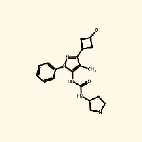 Cc1c(C2CC(O)C2)nn(-c2ccccc2)c1NC(=O)NC1CCNC1